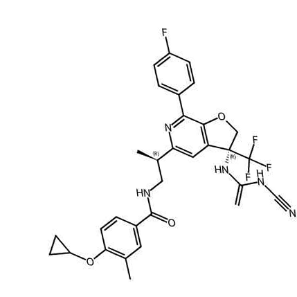 C=C(NC#N)N[C@@]1(C(F)(F)F)COc2c1cc([C@H](C)CNC(=O)c1ccc(OC3CC3)c(C)c1)nc2-c1ccc(F)cc1